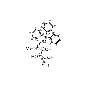 COC(COC(c1ccccc1)(c1ccccc1)c1ccccc1)C(O)C(O)C(C)O